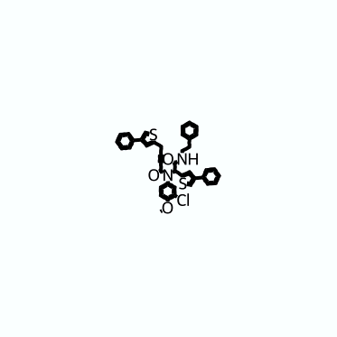 COc1ccc(N(C(=O)C#CCc2cc(-c3ccccc3)cs2)C(C(=O)NCCc2ccccc2)c2cc(-c3ccccc3)cs2)cc1Cl